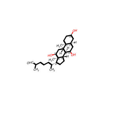 CC(C=O)CCCC(C)[C@H]1CC[C@H]2[C@@H]3[C@H](O)C[C@@H]4C[C@H](O)CC[C@]4(C)[C@H]3C[C@H](O)[C@]12C